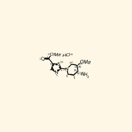 COC(=O)c1cnc(N2CC[C@@H](N)[C@H](OC)C2)s1.Cl